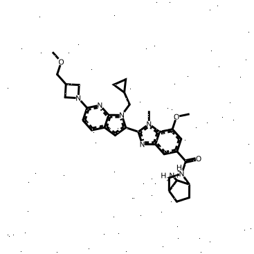 COCC1CN(c2ccc3cc(-c4nc5cc(C(=O)N6CC7CCC6[C@@H]7N)cc(OC)c5n4C)n(CC4CC4)c3n2)C1